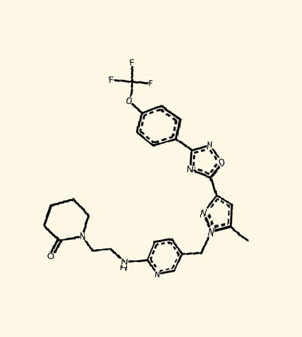 Cc1cc(-c2nc(-c3ccc(OC(F)(F)F)cc3)no2)nn1Cc1ccc(NCCN2CCCCC2=O)nc1